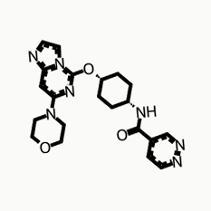 O=C(N[C@H]1CC[C@@H](Oc2nc(N3CCOCC3)cc3nccn23)CC1)c1ccnnc1